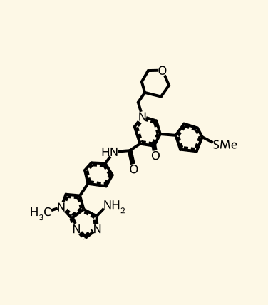 CSc1ccc(-c2cn(CC3CCOCC3)cc(C(=O)Nc3ccc(-c4cn(C)c5ncnc(N)c45)cc3)c2=O)cc1